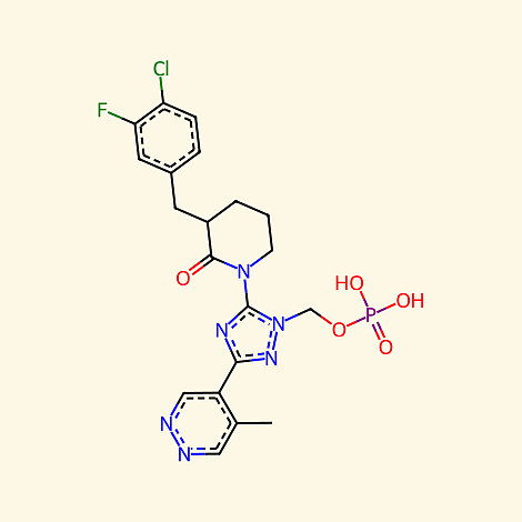 Cc1cnncc1-c1nc(N2CCCC(Cc3ccc(Cl)c(F)c3)C2=O)n(COP(=O)(O)O)n1